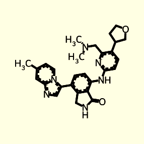 Cc1ccn2c(-c3ccc(Nc4ccc(C5CCOC5)c(CN(C)C)n4)c4c3CNC4=O)cnc2c1